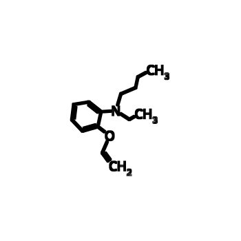 C=COc1ccccc1N(CC)CCCC